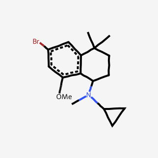 COc1cc(Br)cc2c1C(N(C)C1CC1)CCC2(C)C